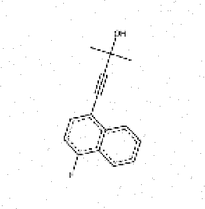 CC(C)(O)C#Cc1ccc(F)c2ccccc12